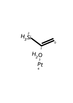 C=C[SiH3].O.[Pt]